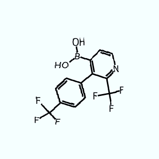 OB(O)c1ccnc(C(F)(F)F)c1-c1ccc(C(F)(F)F)cc1